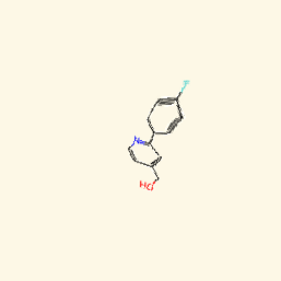 OCc1ccnc(-c2ccc(F)cc2)c1